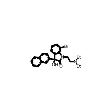 CCN(CC)CCN1C(=O)C(O)(c2ccc3ccccc3c2)c2cccc(Br)c21